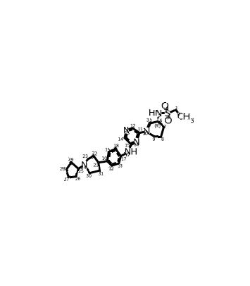 CCS(=O)(=O)N[C@@H]1CCCN(c2cncc(Nc3ccc(C4CCN(C5CCCC5)CC4)cc3)n2)C1